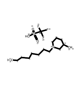 CCCCCCCCN1CCCC(C)C1.O=S(=O)(O)C(F)(F)F